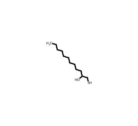 CCCCCCCCCCC(O)CS